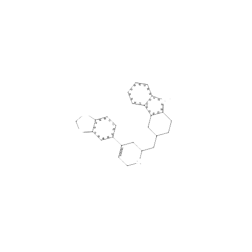 C1=C(c2ccc3c(c2)OCO3)CC(CC2CCc3[nH]c4ccccc4c3C2)NC1